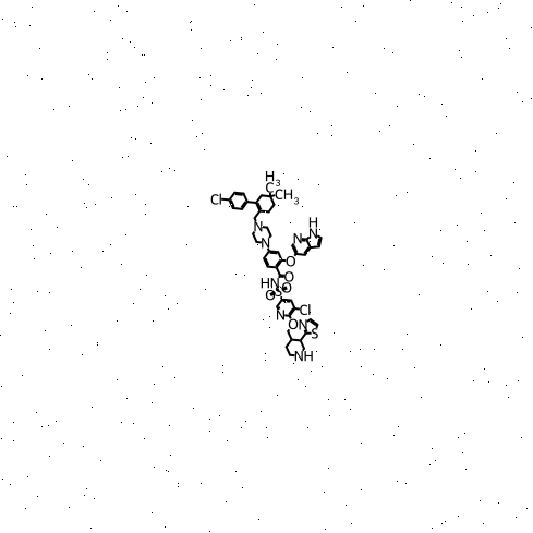 CC1(C)CCC(CN2CCN(c3ccc(C(=O)NS(=O)(=O)c4cnc(OCC5CCNCC5c5nccs5)c(Cl)c4)c(Oc4cnc5[nH]ccc5c4)c3)CC2)=C(c2ccc(Cl)cc2)C1